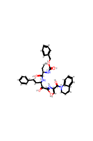 CC(C)CC(NC(=O)OCc1ccccc1)C(=O)NC(CCc1ccccc1)C(=O)c1nc(C(=O)N2CCCc3ccccc32)co1